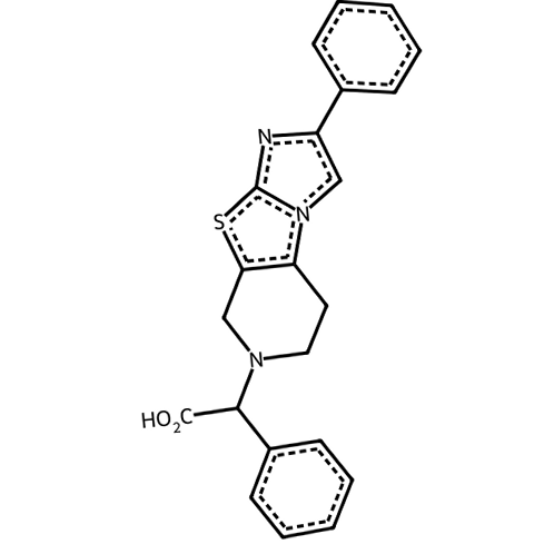 O=C(O)C(c1ccccc1)N1CCc2c(sc3nc(-c4ccccc4)cn23)C1